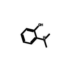 C[SiH](C)c1ccccc1O